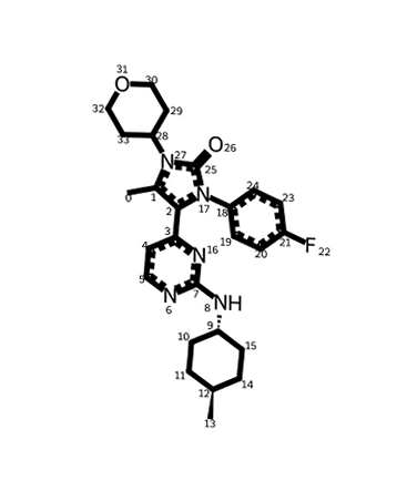 Cc1c(-c2ccnc(N[C@H]3CC[C@H](C)CC3)n2)n(-c2ccc(F)cc2)c(=O)n1C1CCOCC1